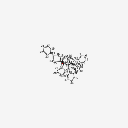 CC1(C)c2ccccc2-c2ccc(N(c3ccc(-c4ccccc4)cc3)c3ccccc3C3(c4ccccc4)c4ccccc4-c4ccccc43)cc21